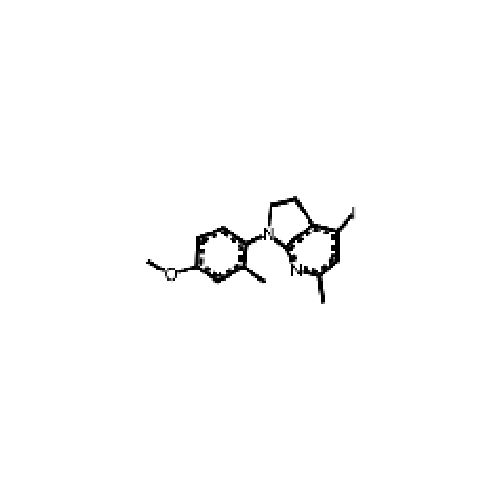 COc1ccc(N2CCc3c(I)cc(C)nc32)c(C)c1